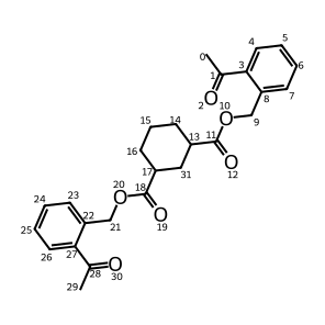 CC(=O)c1ccccc1COC(=O)C1CCCC(C(=O)OCc2ccccc2C(C)=O)C1